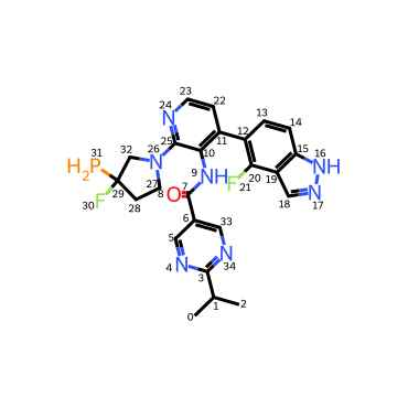 CC(C)c1ncc(C(=O)Nc2c(-c3ccc4[nH]ncc4c3F)ccnc2N2CCC(F)(P)C2)cn1